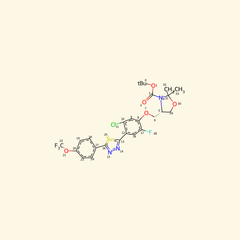 CC(C)(C)OC(=O)N1[C@@H](COc2cc(Cl)c(-c3nnc(-c4ccc(OC(F)(F)F)cc4)s3)cc2F)COC1(C)C